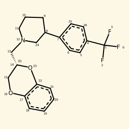 FC(F)(F)c1ccc(C2CCCN(C[C@H]3COc4ccccc4O3)C2)cc1